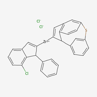 Clc1cccc2c1C(c1ccccc1)[C]([Zr+2][C]1=Cc3cc4ccc3C1c1cccc(c1)S4)=C2.[Cl-].[Cl-]